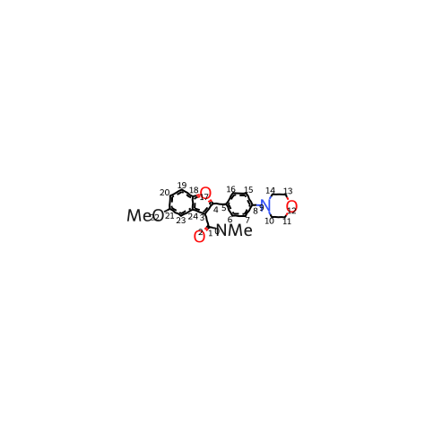 CNC(=O)c1c(-c2ccc(N3CCOCC3)cc2)oc2ccc(OC)cc12